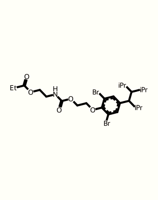 CCC(=O)OCCNC(=O)OCCOc1c(Br)cc(C(C(C)C)C(C(C)C)C(C)C)cc1Br